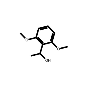 [CH2]C(O)c1c(OC)cccc1OC